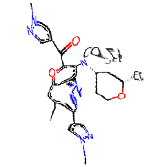 CCOC(=O)N(c1c(C(=O)c2cnn(C)c2)oc2cc(C)c(-c3cnn(C)c3)nc12)[C@H]1CCO[C@@H](CC)C1